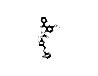 Cc1ccc(NC(=O)Nc2nc(CSc3ncc[nH]3)cs2)c(C(=O)C2CCCC2)c1